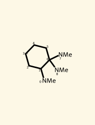 CNC1C[CH]CCC1(NC)NC